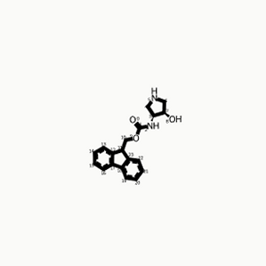 O=C(N[C@@H]1CNC[C@H]1O)OCC1c2ccccc2-c2ccccc21